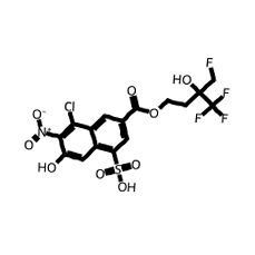 O=C(OCCC(O)(CF)C(F)(F)F)c1cc(S(=O)(=O)O)c2cc(O)c([N+](=O)[O-])c(Cl)c2c1